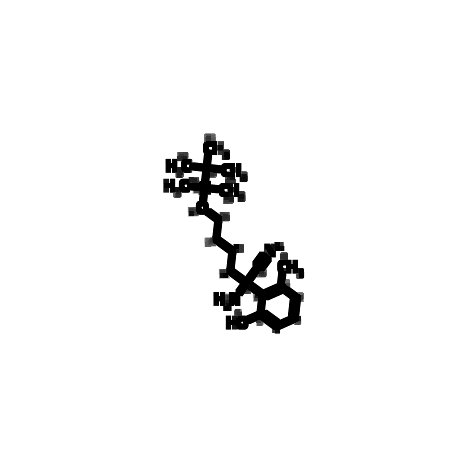 Cc1cccc(O)c1C(N)(C#N)CCCCO[Si](C)(C)C(C)(C)C